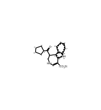 CCOC(=O)C1=CNCC(C(=O)C2CCCC2)c2c1[nH]c1ccccc21